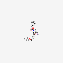 CCCCO[C@H](C)CCCCOC1(CI)CCN(C(=O)OCc2ccccc2)CC1